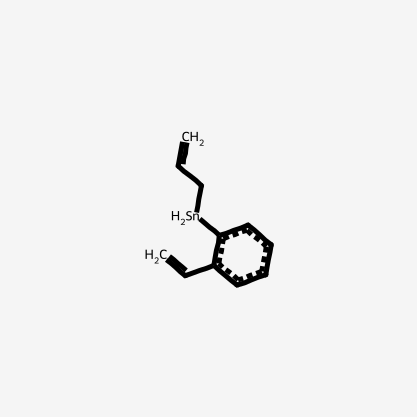 C=C[CH2][SnH2][c]1ccccc1C=C